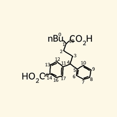 CCCCC(CCC(c1ccccc1)c1ccc(C(=O)O)cc1)C(=O)O